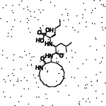 CCCC[C@@H](NC(CC(C)C)C(=O)NC1CCCCCCCCCCNC1=O)P(=O)(O)O